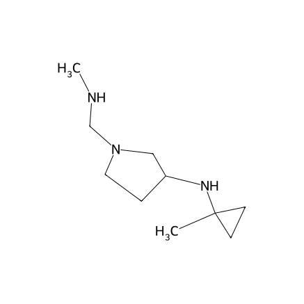 CNCN1CCC(NC2(C)CC2)C1